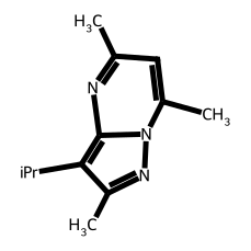 Cc1cc(C)n2nc(C)c(C(C)C)c2n1